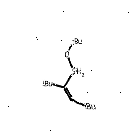 CCC(C)C=C([SiH2]OC(C)(C)C)C(C)CC